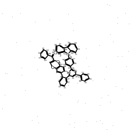 C=C(C1=COc2cc(-c3ccccc3-c3cc(-c4ccccc4)nc(-c4ccc(-n5c6ccccc6c6ccccc65)cc4)n3)ccc2O1)c1ccccc1